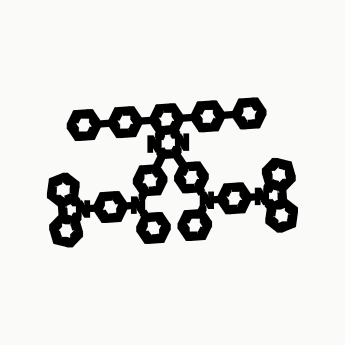 c1ccc(-c2ccc(-c3ccc(-c4ccc(-c5ccccc5)cc4)c4nc(-c5ccc(N(c6ccccc6)c6ccc(-n7c8ccccc8c8ccccc87)cc6)cc5)c(-c5ccc(N(c6ccccc6)c6ccc(-n7c8ccccc8c8ccccc87)cc6)cc5)nc34)cc2)cc1